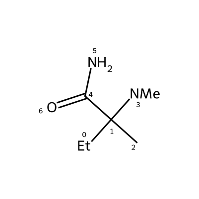 CCC(C)(NC)C(N)=O